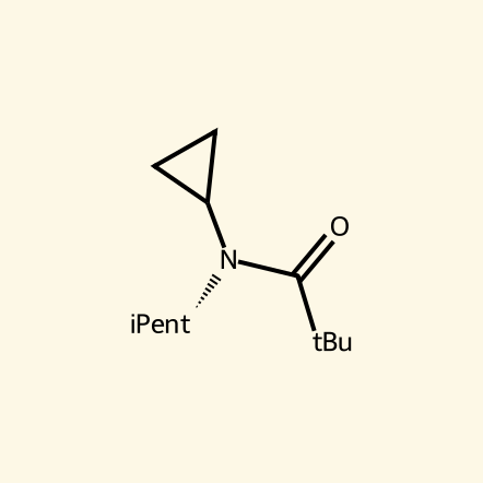 CCC[C@@H](C)N(C(=O)C(C)(C)C)C1CC1